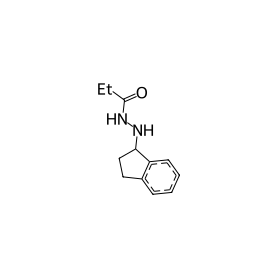 CCC(=O)NNC1CCc2ccccc21